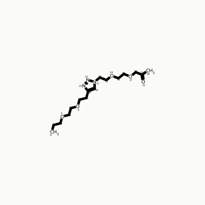 CCCOCCOCCc1cn(CCOCCOCC(C)=O)nn1